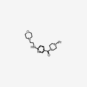 CC(C)N1CCN(C(=O)c2ccc(NCCN3CCOCC3)nc2)CC1